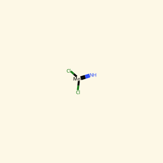 [NH]=[Mo]([Cl])[Cl]